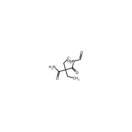 CCC(CC)(C(N)=O)C(=O)NC=O